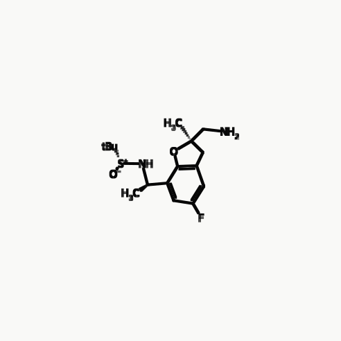 C[C@@H](N[S@+]([O-])C(C)(C)C)c1cc(F)cc2c1O[C@@](C)(CN)C2